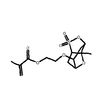 C=C(C)C(=O)OCCOC1C2CC3C(C)(O2)C1OS3(=O)=O